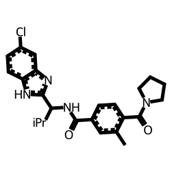 Cc1cc(C(=O)NC(c2nc3cc(Cl)ccc3[nH]2)C(C)C)ccc1C(=O)N1CCCC1